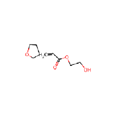 C1CCOC1.C=CC(=O)OCCO